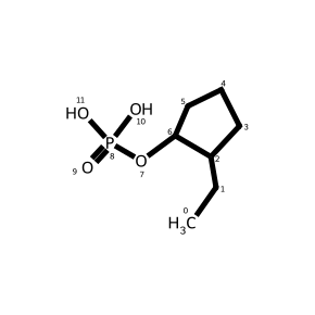 CCC1CCCC1OP(=O)(O)O